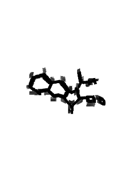 C=C(C(C)C)N1c2cc3cccnc3cc2NC1C=O